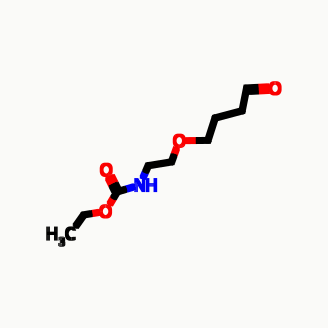 CCOC(=O)NCCOCCCC=O